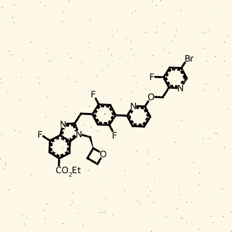 CCOC(=O)c1cc(F)c2nc(Cc3cc(F)c(-c4cccc(OCc5ncc(Br)cc5F)n4)cc3F)n(C[C@@H]3CCO3)c2c1